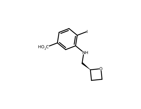 O=C(O)c1ccc(I)c(NC[C@@H]2CCO2)c1